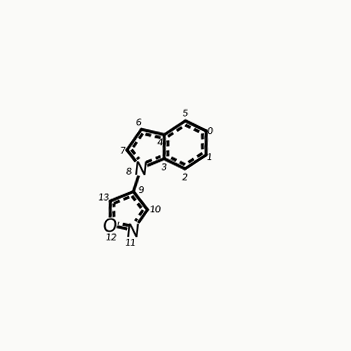 c1ccc2c(c1)ccn2-c1cnoc1